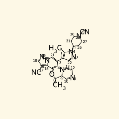 Cc1c(-c2cc(O[C@H](C)c3cnccn3)c3c(C#N)cnn3c2)cnn1C1CCN(C#N)CC1